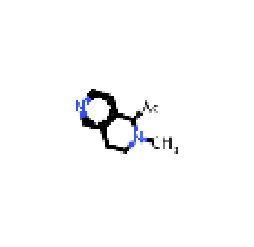 CC(=O)C1c2ccncc2CCN1C